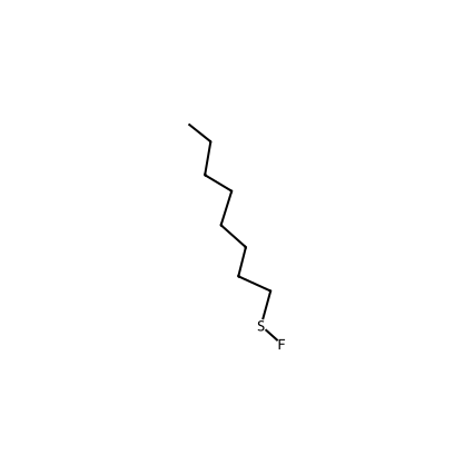 CCCCCCCCSF